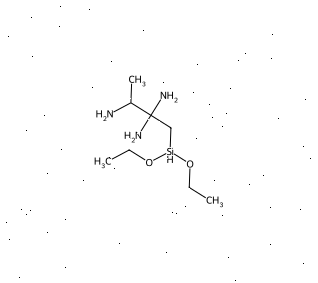 CCO[SiH](CC(N)(N)C(C)N)OCC